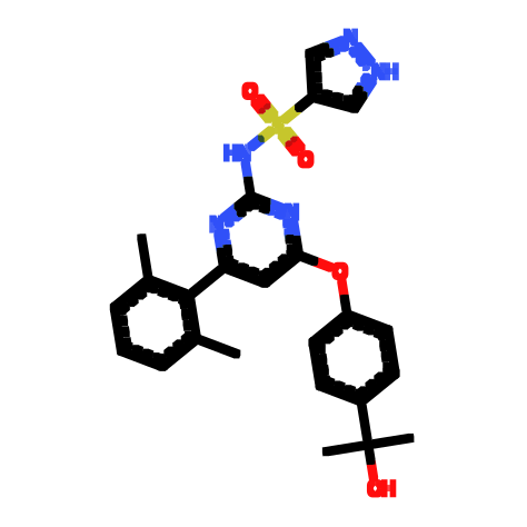 Cc1cccc(C)c1-c1cc(Oc2ccc(C(C)(C)O)cc2)nc(NS(=O)(=O)c2cn[nH]c2)n1